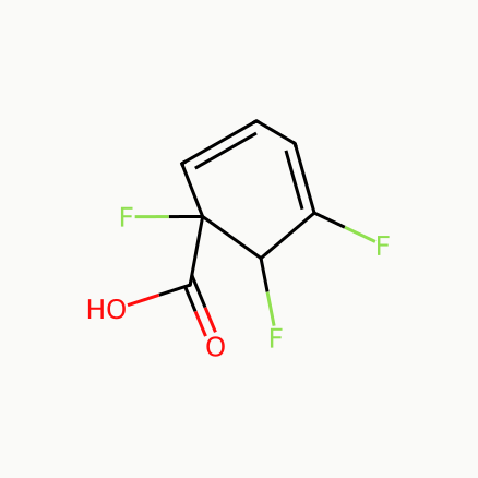 O=C(O)C1(F)C=CC=C(F)C1F